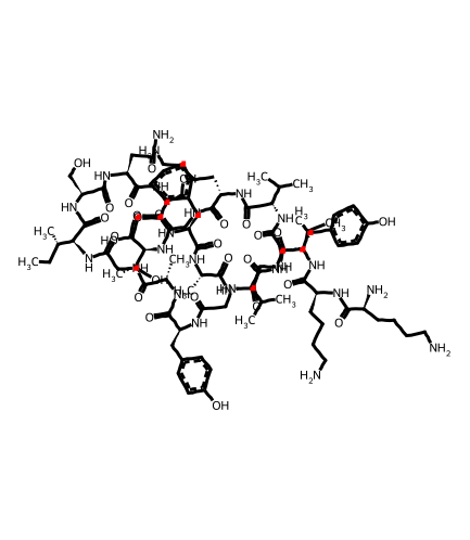 CC[C@H](C)[C@H](NC(=O)CNC(=O)[C@H](C)NC(=O)[C@H](Cc1ccc(O)cc1)NC(=O)CNC(=O)CNC(=O)[C@H](Cc1ccc(O)cc1)NC(=O)[C@H](CCCCN)NC(=O)[C@@H](N)CCCCN)C(=O)N[C@@H](CO)C(=O)N[C@@H](CC(N)=O)C(=O)N[C@@H](CO)C(=O)N[C@@H](Cc1ccccc1)C(=O)N[C@@H](C)C(=O)N[C@H](C(=O)N[C@@H](CC(C)C)C(=O)N[C@H](C(=O)N[C@@H](CCCCN)C(=O)NCC(=O)N[C@H](C(=O)O)[C@@H](C)O)C(C)C)C(C)C